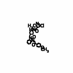 COc1ccc(C(=O)Cn2c(=O)n(CC3CCC(NC(=O)c4cc(Cl)cnc4C)CC3)c3ccccc32)cc1